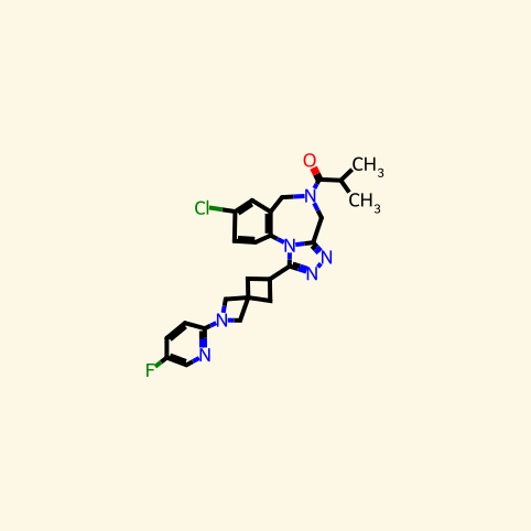 CC(C)C(=O)N1Cc2cc(Cl)ccc2-n2c(nnc2C2CC3(C2)CN(c2ccc(F)cn2)C3)C1